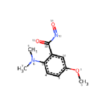 COc1ccc(N(C)C)c(C(=O)N=O)c1